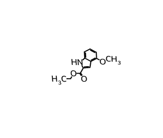 CCOC(=O)c1cc2c(OC)cccc2[nH]1